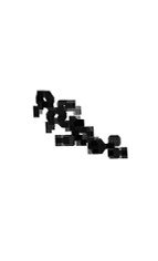 Cc1cc(Cn2ncc3nc(-n4cc(C(=O)O)cn4)nc(O)c32)c(F)cc1-c1ccccc1F